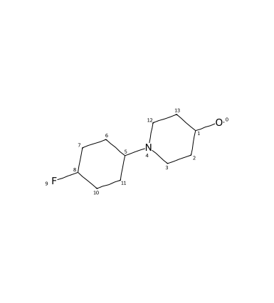 [O]C1CCN(C2CCC(F)CC2)CC1